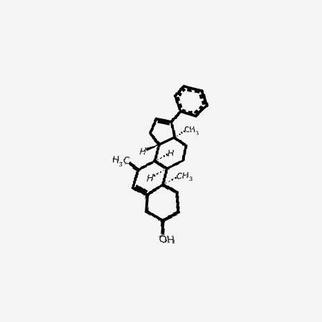 CC1C=C2CC(O)CC[C@]2(C)[C@@H]2CC[C@]3(C)C(c4ccccc4)=CC[C@H]3[C@H]12